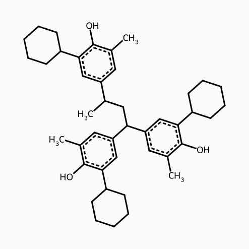 Cc1cc(C(C)CC(c2cc(C)c(O)c(C3CCCCC3)c2)c2cc(C)c(O)c(C3CCCCC3)c2)cc(C2CCCCC2)c1O